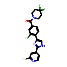 CC(C)(C)c1cc(-c2nc(-c3ccc(C(=O)N4CCC(F)(F)CC4)cc3Cl)c[nH]2)ccn1